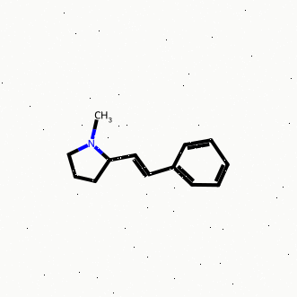 CN1CCCC1C=Cc1ccccc1